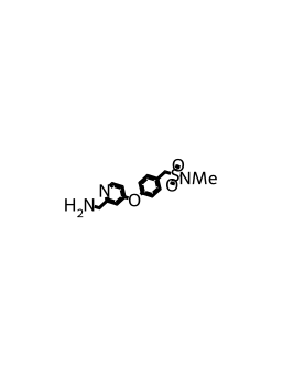 CNS(=O)(=O)Cc1ccc(Oc2ccnc(CN)c2)cc1